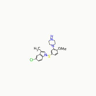 COc1ccc(Sn2cc(C)c3cc(Cl)ccc32)cc1N1CCNCC1